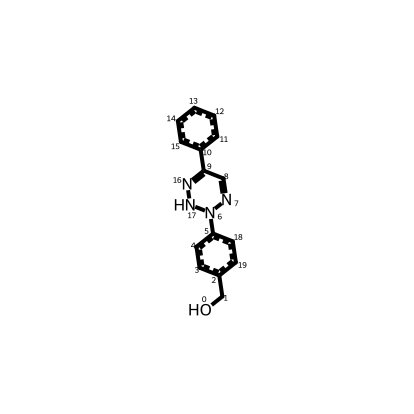 OCc1ccc(N2N=CC(c3ccccc3)=NN2)cc1